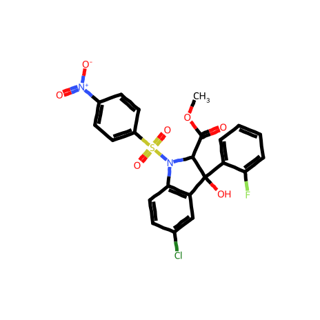 COC(=O)C1N(S(=O)(=O)c2ccc([N+](=O)[O-])cc2)c2ccc(Cl)cc2C1(O)c1ccccc1F